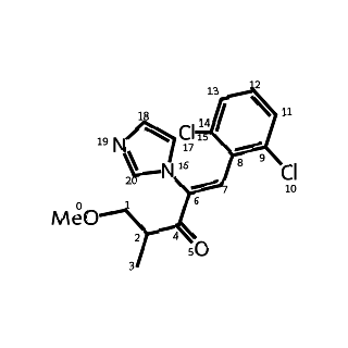 COCC(C)C(=O)C(=Cc1c(Cl)cccc1Cl)n1ccnc1